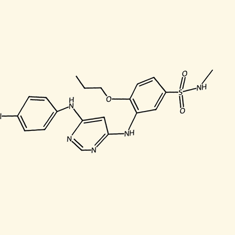 CCCOc1ccc(S(=O)(=O)NC)cc1Nc1cc(Nc2ccc(Cl)cc2)ncn1